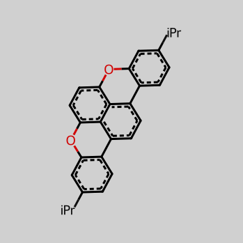 CC(C)c1ccc2c(c1)Oc1ccc3c4c(ccc-2c14)-c1ccc(C(C)C)cc1O3